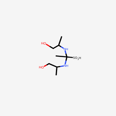 CC(CO)NC(C)(NC(C)CO)S(=O)(=O)O